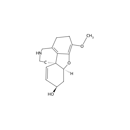 COC1=C2O[C@H]3C[C@@H](O)C=C[C@]34CCNCC(=C24)CC1